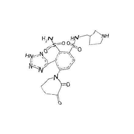 NS(=O)(=O)c1c(S(=O)(=O)NC2CCNC2)ccc(N2CCCC(=O)C2=O)c1-c1nn[nH]n1